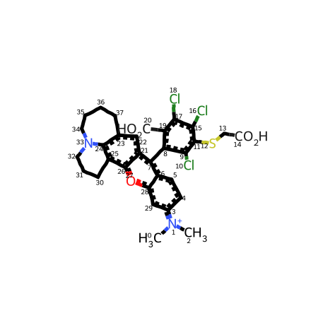 C[N+](C)=c1ccc2c(-c3c(Cl)c(SCC(=O)O)c(Cl)c(Cl)c3C(=O)O)c3cc4c5c(c3oc-2c1)CCCN5CCCC4